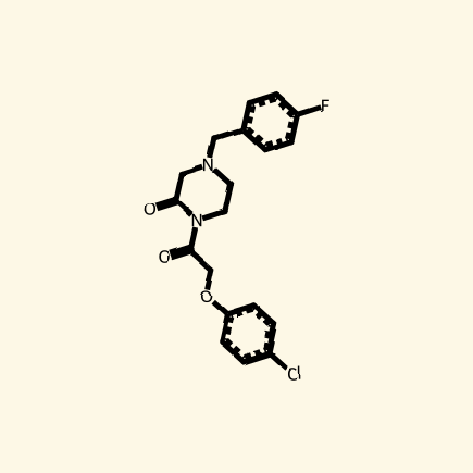 O=C(COc1ccc(Cl)cc1)N1CCN(Cc2ccc(F)cc2)CC1=O